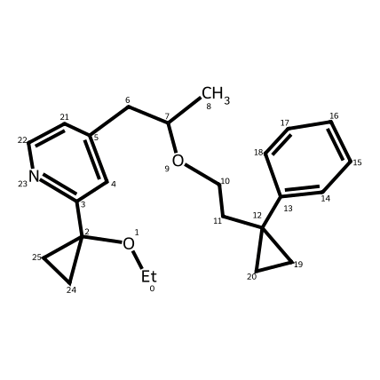 CCOC1(c2cc(CC(C)OCCC3(c4ccccc4)CC3)ccn2)CC1